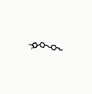 FC=CC1CCC(CCC2CCC(c3ccc(F)c(F)c3)CC2)CC1